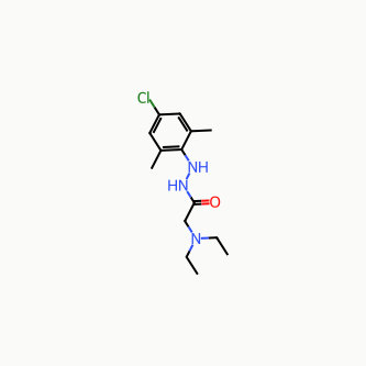 CCN(CC)CC(=O)NNc1c(C)cc(Cl)cc1C